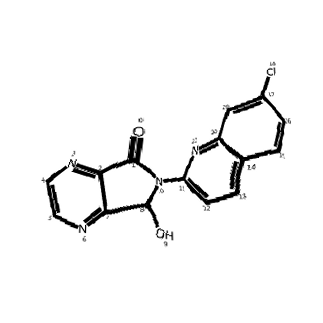 O=C1c2nccnc2C(O)N1c1ccc2ccc(Cl)cc2n1